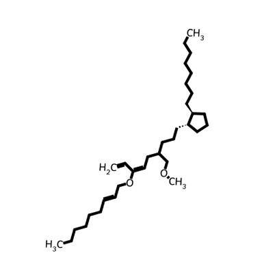 C=C/C(=C\CC(CCC[C@H]1CCC[C@@H]1CCCCCCCC)COC)OCC=CCCCCCC